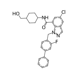 O=C(NC1CCC(CO)CC1)c1cc(Cl)cc2cnn(Cc3ccc(-c4ccccc4)cc3F)c12